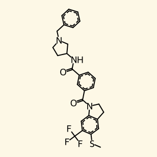 CSc1cc2c(cc1C(F)(F)F)N(C(=O)c1cccc(C(=O)NC3CCN(Cc4ccccc4)C3)c1)CC2